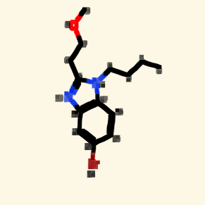 CCCCn1c(CCOC)nc2cc(Br)ccc21